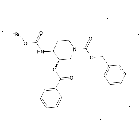 CC(C)(C)OC(=O)N[C@H]1CCN(C(=O)OCc2ccccc2)C[C@H]1OC(=O)c1ccccc1